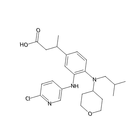 CC(C)CN(c1ccc(C(C)CC(=O)O)cc1Nc1ccc(Cl)nc1)C1CCOCC1